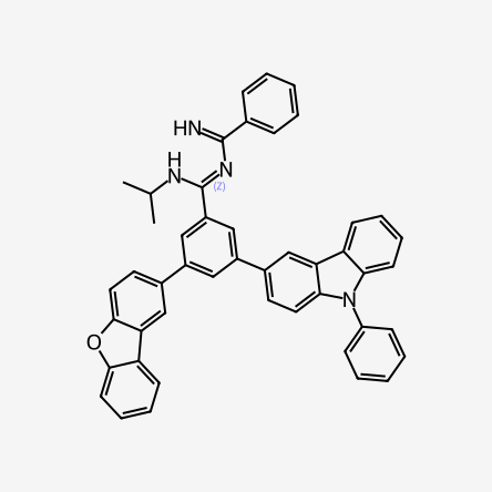 CC(C)N/C(=N\C(=N)c1ccccc1)c1cc(-c2ccc3oc4ccccc4c3c2)cc(-c2ccc3c(c2)c2ccccc2n3-c2ccccc2)c1